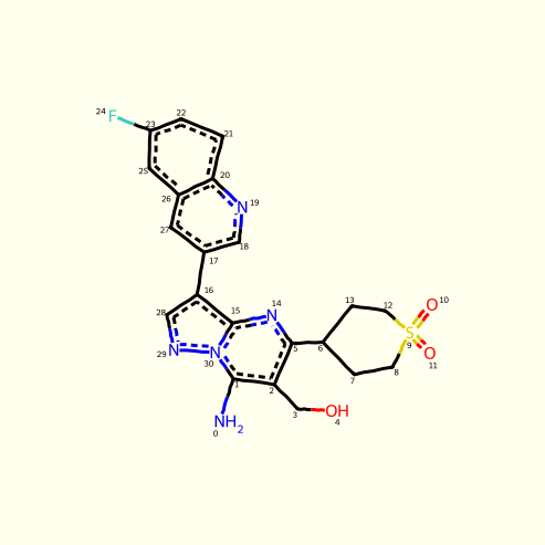 Nc1c(CO)c(C2CCS(=O)(=O)CC2)nc2c(-c3cnc4ccc(F)cc4c3)cnn12